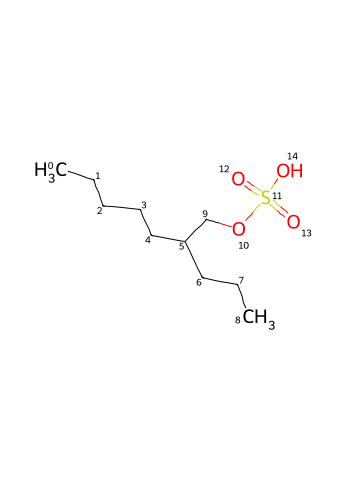 CCCCCC(CCC)COS(=O)(=O)O